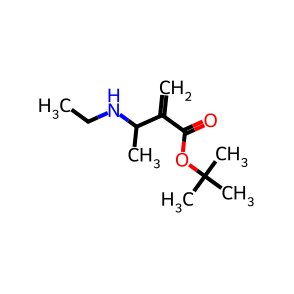 C=C(C(=O)OC(C)(C)C)C(C)NCC